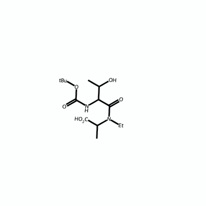 CCN(C(=O)C(NC(=O)OC(C)(C)C)C(C)O)C(C)C(=O)O